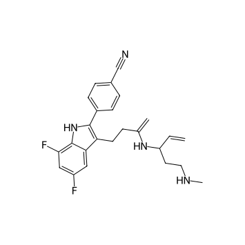 C=CC(CCNC)NC(=C)CCc1c(-c2ccc(C#N)cc2)[nH]c2c(F)cc(F)cc12